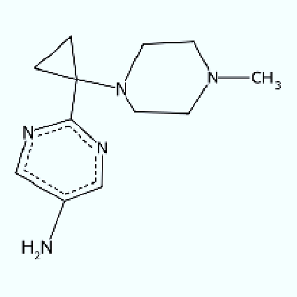 CN1CCN(C2(c3ncc(N)cn3)CC2)CC1